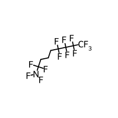 FN(F)C(F)(F)CCCC(F)(F)C(F)(F)C(F)(F)C(F)(F)F